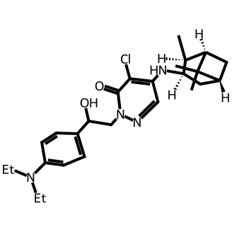 CCN(CC)c1ccc(C(O)Cn2ncc(N[C@@H]3C[C@H]4C[C@H]([C@@H]3C)C4(C)C)c(Cl)c2=O)cc1